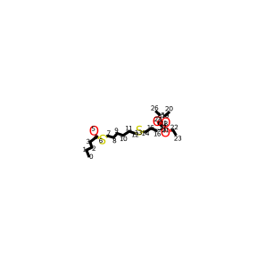 CCCCC(=O)SCCCCCCSCCC[Si](OCC)(OCC)OCC